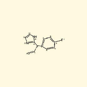 O=CC(c1ccc(F)cc1)c1ncc[nH]1